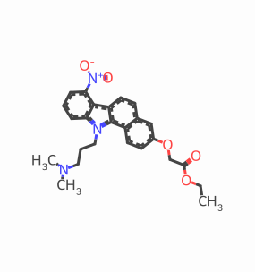 CCOC(=O)COc1ccc2c(ccc3c4c([N+](=O)[O-])cccc4n(CCCN(C)C)c23)c1